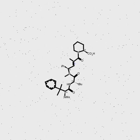 CN[C@H](C(=O)N[C@H](C(=O)N(C)[C@H](/C=C(\C)C(=O)N1CCCC[C@H]1C(=O)O)C(C)C)C(C)(C)C)C(C)(C)c1ccccc1